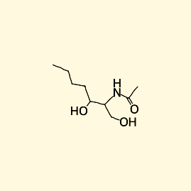 CCCCC(O)C(CO)NC(C)=O